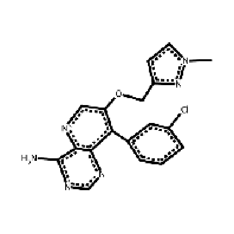 Cn1ccc(COc2cnc3c(N)ncnc3c2-c2cccc(Cl)c2)n1